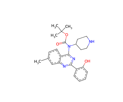 Cc1ccc2c(N(C(=O)OC(C)(C)C)C3CCNCC3)nc(-c3ccccc3O)nc2c1